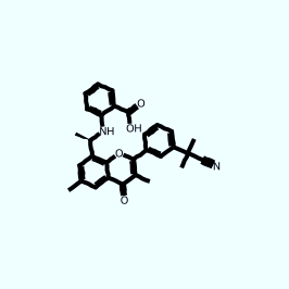 Cc1cc([C@@H](C)Nc2ccccc2C(=O)O)c2oc(-c3cccc(C(C)(C)C#N)c3)c(C)c(=O)c2c1